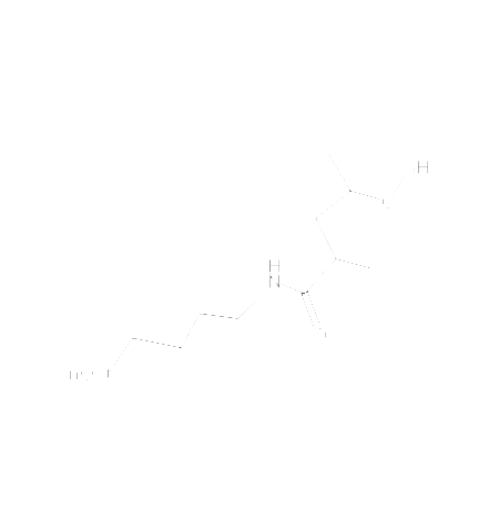 CCCCCCCCCCCCNC(=O)C(C)CC(C)OS